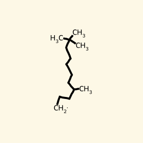 [CH2]CCC(C)CCCCCC(C)(C)C